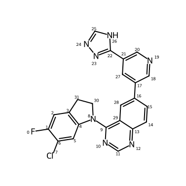 Fc1cc2c(cc1Cl)N(c1ncnc3ccc(-c4cncc(-c5nnc[nH]5)c4)cc13)CC2